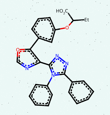 CCC(Oc1cccc(-c2ocnc2-c2nnc(-c3ccccc3)n2-c2ccccc2)c1)C(=O)O